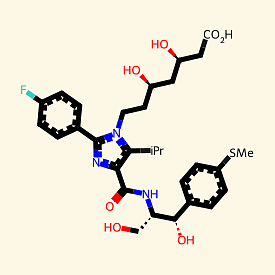 CSc1ccc([C@H](O)[C@H](CO)NC(=O)c2nc(-c3ccc(F)cc3)n(CC[C@@H](O)C[C@@H](O)CC(=O)O)c2C(C)C)cc1